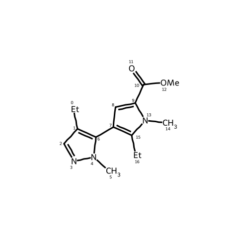 CCc1cnn(C)c1-c1cc(C(=O)OC)n(C)c1CC